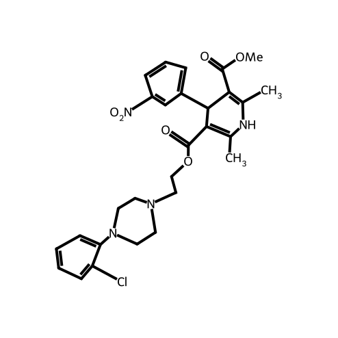 COC(=O)C1=C(C)NC(C)=C(C(=O)OCCN2CCN(c3ccccc3Cl)CC2)C1c1cccc([N+](=O)[O-])c1